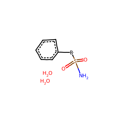 NS(=O)(=O)[B]c1ccccc1.O.O